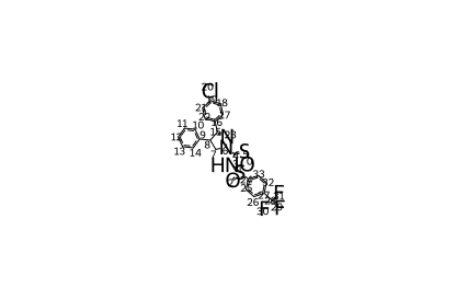 O=S(=O)(NC(=S)N1CC(c2ccccc2)C(c2ccc(Cl)cc2)=N1)c1ccc(C(F)(F)F)cc1